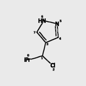 CC(C)C(Cl)c1cn[nH]c1